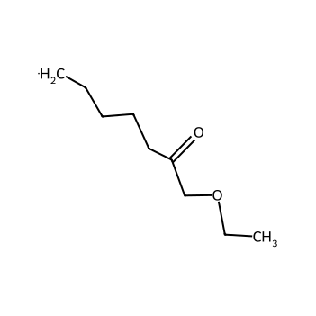 [CH2]CCCCC(=O)COCC